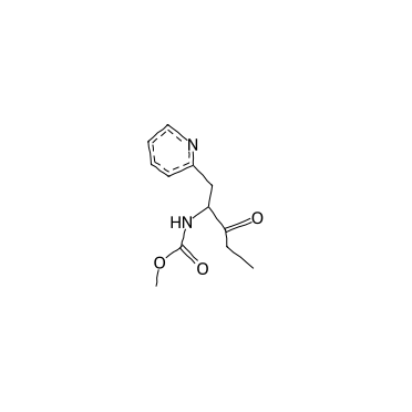 CCC(=O)C(Cc1ccccn1)NC(=O)OC